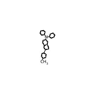 Cc1ccc(-c2ccc3cc(N(c4ccccc4)c4ccccc4)ccc3c2)cc1